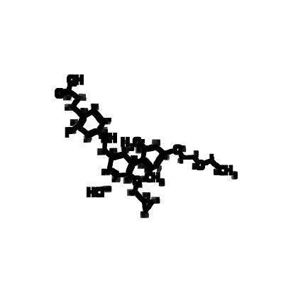 CCOCCOc1cc(C)c(-c2cc(CNc3ccc(CCC(=O)O)c(F)c3)ccc2OCC2CC2)c(C)c1.Cl